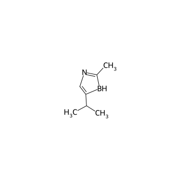 CC1=NC=C(C(C)C)B1